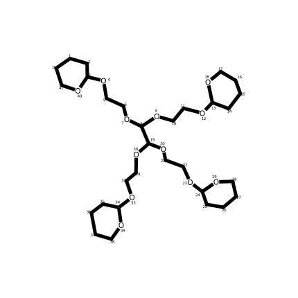 C1CCC(OCCO[C](OCCOC2CCCCO2)C(OCCOC2CCCCO2)OCCOC2CCCCO2)OC1